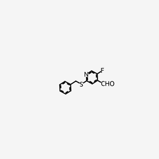 O=Cc1cc(SCc2ccccc2)ncc1F